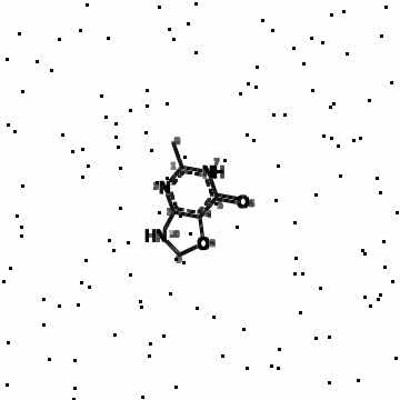 Cc1nc2c(c(=O)[nH]1)OCN2